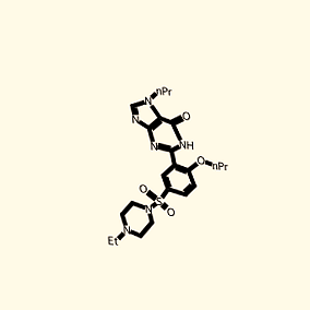 CCCOc1ccc(S(=O)(=O)N2CCN(CC)CC2)cc1-c1nc2ncn(CCC)c2c(=O)[nH]1